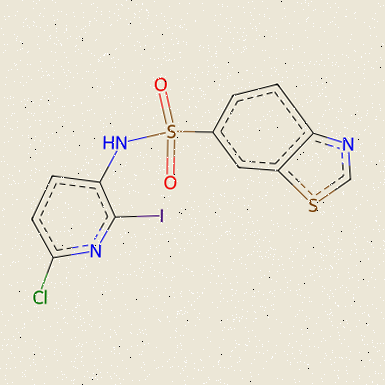 O=S(=O)(Nc1ccc(Cl)nc1I)c1ccc2ncsc2c1